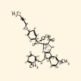 CC#CCOc1ccc(S(=O)(=O)NC(Cc2cn(Cc3ccccc3C)c3ccc(C)cc23)C(=O)O)cc1